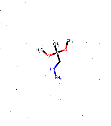 CO[Si](C)(CNN)OC